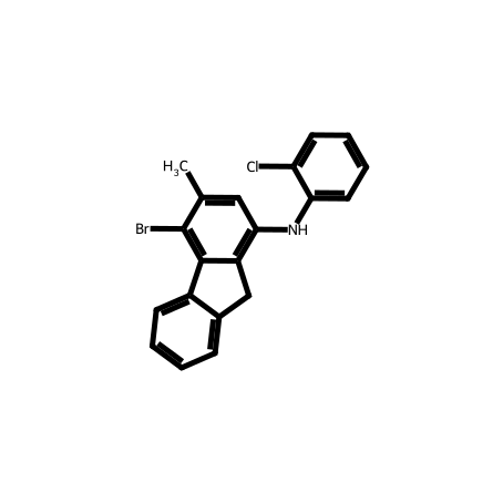 Cc1cc(Nc2ccccc2Cl)c2c(c1Br)-c1ccccc1C2